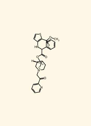 COC(=O)c1sccc1NC(C(=O)O[C@H]1C[N+]2(CC(=O)c3ccccn3)CCC1CC2)c1ccccc1